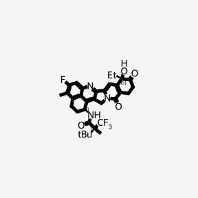 CC[C@@]1(O)C(=O)CCc2c1cc1n(c2=O)Cc2c-1nc1cc(F)c(C)c3c1c2[C@@H](NC(=O)[C@](C)(C(C)(C)C)C(F)(F)F)CC3